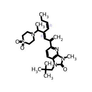 C=C(/C=C(\C=C/CC)C(C)N1CCS(=O)(=O)CC1)c1ccc2c(n1)n(C)c(=O)n2CC(C)(C)C